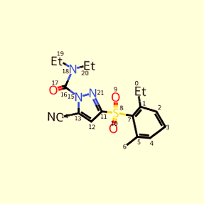 CCc1cccc(C)c1S(=O)(=O)c1cc(C#N)n(C(=O)N(CC)CC)n1